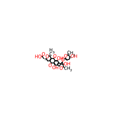 CC1OC2c3c(O)c4c(c(O)c3C23C(O[C@H]2CC[C@H](O)[C@H](C)O2)C13O)C(=O)C1=C(C[C@H](CC(=O)O)O[C@H]1C)C4=O